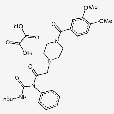 CCCCNC(=O)N(C(=O)CN1CCN(C(=O)c2ccc(OC)c(OC)c2)CC1)c1ccccc1.O=C(O)C(=O)O